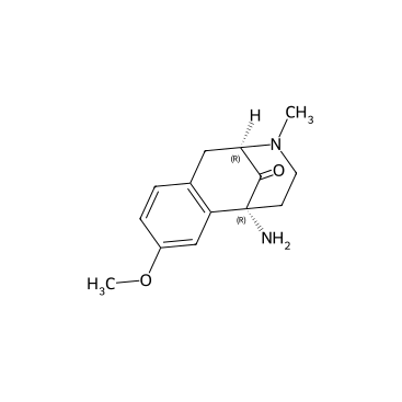 COc1ccc2c(c1)[C@]1(N)CCN(C)[C@H](C2)C1=O